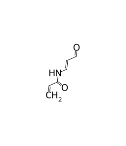 C=CC(=O)NC=CC=O